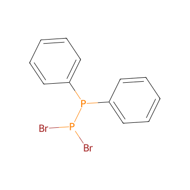 BrP(Br)P(c1ccccc1)c1ccccc1